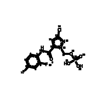 O=C(Nc1ccc(F)cc1F)c1cc(Cl)nn1COP(=O)(O)O